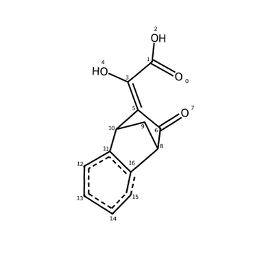 O=C(O)C(O)=C1C(=O)C2CC1c1ccccc12